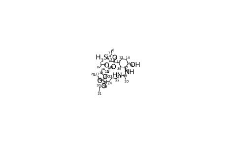 CCOC([SiH3])C(OCC)(OCC)C1CCC(O)C(NC(C)NCCC[Si](OCC)(OCC)OCC)C1